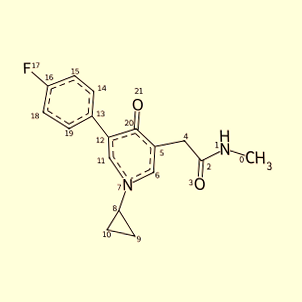 CNC(=O)Cc1cn(C2CC2)cc(-c2ccc(F)cc2)c1=O